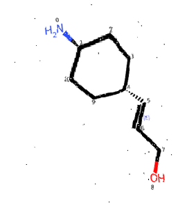 N[C@H]1CC[C@H](/C=C/CO)CC1